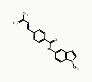 C=C(C)/C=C/c1ccc(C(=O)Nc2ccc3c(ccn3C)c2)cc1